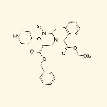 CC(=O)OCOC(=O)C1c2ccccc2CC(N(OC2CCNCC2)C(C)=O)N1CCC(=O)OCc1ccccc1